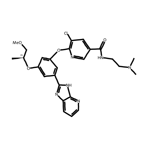 COC[C@H](C)Oc1cc(Oc2ncc(C(=O)NCCN(C)C)cc2Cl)cc(-c2nc3cccnc3[nH]2)c1